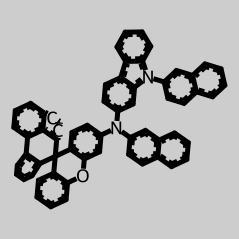 c1ccc2c(c1)Oc1cc(N(c3ccc4ccccc4c3)c3ccc4c5ccccc5n(-c5ccc6ccccc6c5)c4c3)ccc1C21c2ccccc2-c2cccc3cccc1c23